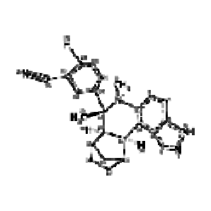 CN1c2ccc3[nH]ncc3c2[C@H]2C3CCC(C3)[C@H]2[C@]1(C)c1ccc(F)c(C#N)c1